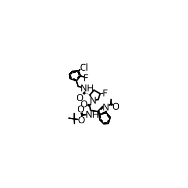 CC(=O)n1cc(C(NC(=O)OC(C)(C)C)C(=O)N2C[C@H](F)C[C@H]2C(=O)NCc2cccc(Cl)c2F)c2ccccc21